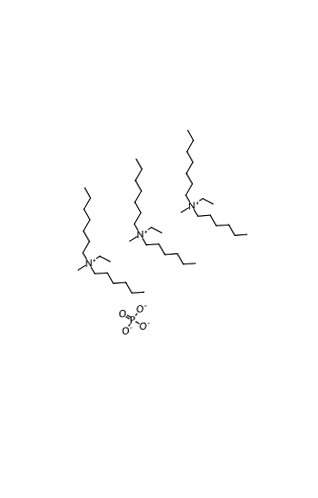 CCCCCCC[N+](C)(CC)CCCCCC.CCCCCCC[N+](C)(CC)CCCCCC.CCCCCCC[N+](C)(CC)CCCCCC.O=P([O-])([O-])[O-]